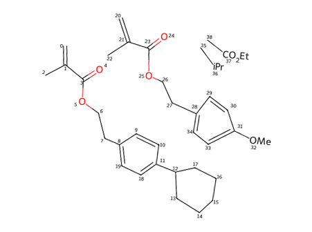 C=C(C)C(=O)OCCc1ccc(C2CCCCC2)cc1.C=C(C)C(=O)OCCc1ccc(OC)cc1.CC(C)C.CCOC(C)=O